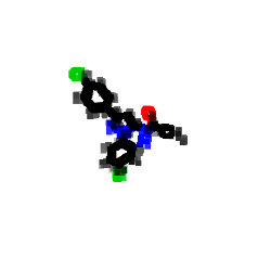 CC(=O)Nc1cc(-c2ccc(Cl)cc2)nn1-c1ccc(Cl)cc1